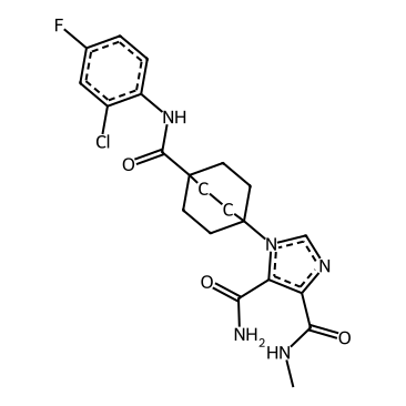 CNC(=O)c1ncn(C23CCC(C(=O)Nc4ccc(F)cc4Cl)(CC2)CC3)c1C(N)=O